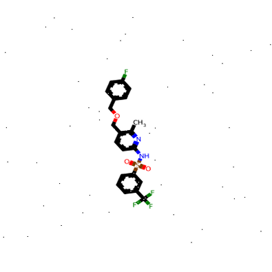 Cc1nc(NS(=O)(=O)c2cccc(C(F)(F)F)c2)ccc1COCc1ccc(F)cc1